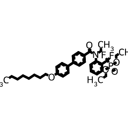 CCCCCCCCOc1ccc(-c2ccc(C(=O)N(CC)c3ccccc3C(F)(F)P(=O)(OCC)OCC)cc2)cc1